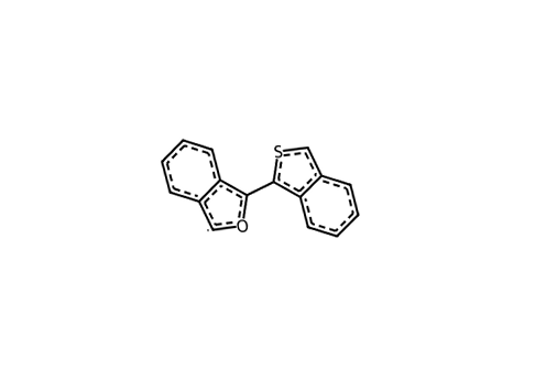 [c]1oc(-c2scc3ccccc23)c2ccccc12